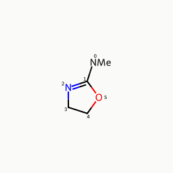 CNC1=NCCO1